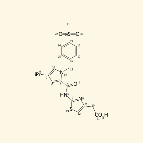 CC(C)c1cc(C(=O)Nc2nc(CC(=O)O)cs2)n(Cc2ccc(S(C)(=O)=O)cc2)c1